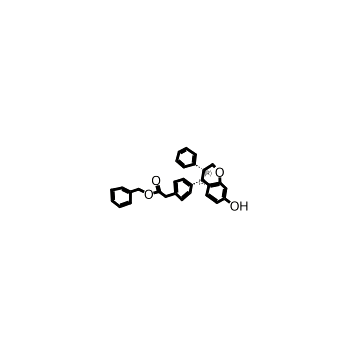 O=C(Cc1ccc([C@H]2c3ccc(O)cc3OC[C@H]2c2ccccc2)cc1)OCc1ccccc1